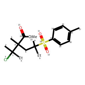 CCC(C)(Cl)C(C)(CC(C)(CC)S(=O)(=O)c1ccc(C)cc1)C(=O)OC